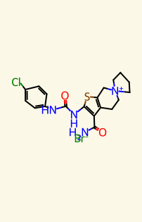 NC(=O)c1c(NC(=O)Nc2ccc(Cl)cc2)sc2c1CC[N+]1(CCCC1)C2.[Br-]